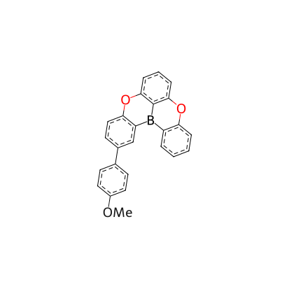 COc1ccc(-c2ccc3c(c2)B2c4ccccc4Oc4cccc(c42)O3)cc1